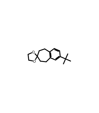 CC(C)(C)c1ccc2c(c1)CCC1(CC2)OCCO1